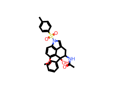 COc1ccc2c3c(cn2S(=O)(=O)c2ccc(C)cc2)CC(NC(C)=O)C(O)(c2ccccc2)c13